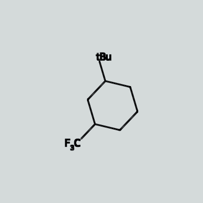 CC(C)(C)C1CCCC(C(F)(F)F)C1